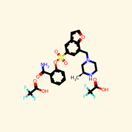 C[C@H]1CN(Cc2cc(S(=O)(=O)Oc3ccccc3C(N)=O)cc3ccoc23)CCN1.O=C(O)C(F)(F)F.O=C(O)C(F)(F)F